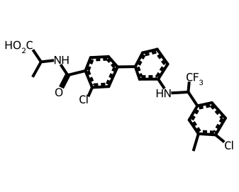 Cc1cc(C(Nc2cccc(-c3ccc(C(=O)NC(C)C(=O)O)c(Cl)c3)c2)C(F)(F)F)ccc1Cl